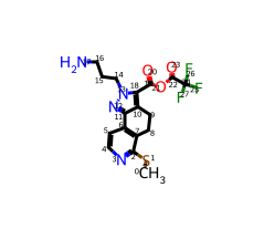 CSc1nccc2c1CCc1c-2nn(CCCN)c1C(=O)OC(=O)C(F)(F)F